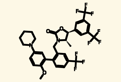 COc1ccc(N2CCCCC2)cc1-c1ccc(C(F)(F)F)cc1CN1C(=O)O[C@H](c2cc(C(F)(F)F)cc(C(F)(F)F)c2)[C@@H]1C